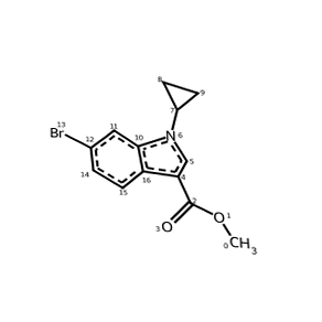 COC(=O)c1cn(C2CC2)c2cc(Br)ccc12